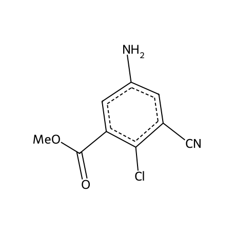 COC(=O)c1cc(N)cc(C#N)c1Cl